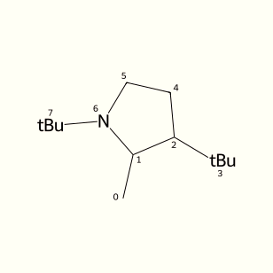 CC1C(C(C)(C)C)CCN1C(C)(C)C